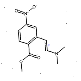 COC(=O)c1ccc([N+](=O)[O-])cc1/C=C/N(C)C